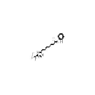 O=C(CCCCCCc1noc(C(F)(F)F)n1)Nc1ccccc1